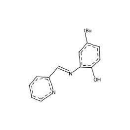 CC(C)(C)c1ccc(O)c(/N=C/c2ccccn2)c1